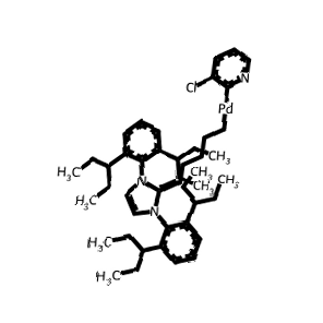 CCC(CC)c1cccc(C(CC)CC)c1N1C=CN(c2c(C(CC)CC)cccc2C(CC)CC)C1=CCCC[CH2][Pd][c]1ncccc1Cl